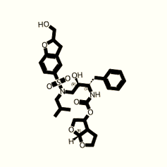 CC(C)CN(C[C@@H](O)[C@H](Cc1ccccc1)NC(=O)OC1CO[C@H]2OCCC12)S(=O)(=O)c1ccc2c(c1)CC(CO)O2